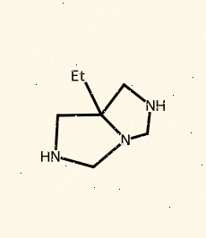 CCC12CNCN1CNC2